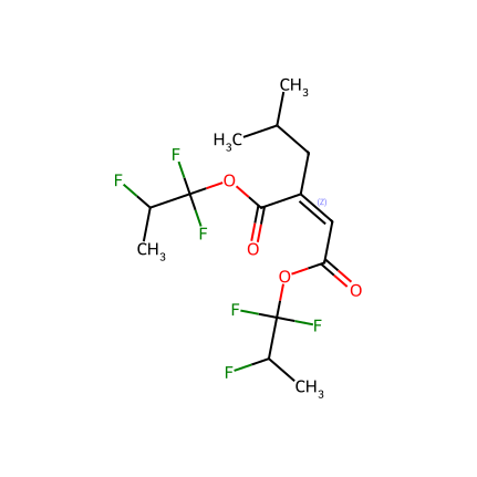 CC(C)C/C(=C/C(=O)OC(F)(F)C(C)F)C(=O)OC(F)(F)C(C)F